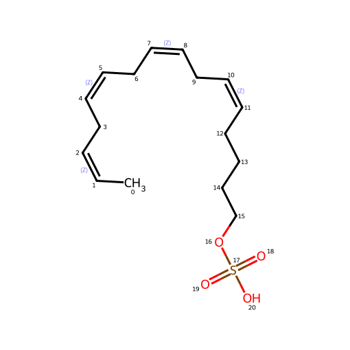 C/C=C\C/C=C\C/C=C\C/C=C\CCCCOS(=O)(=O)O